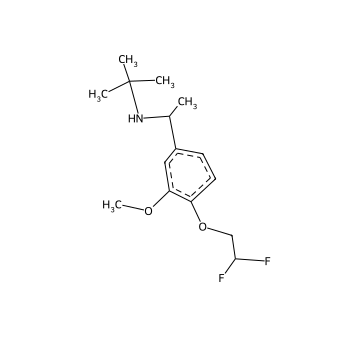 COc1cc(C(C)NC(C)(C)C)ccc1OCC(F)F